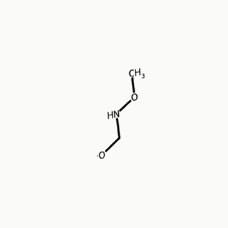 CONC[O]